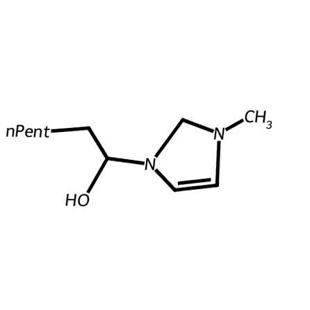 CCCCCCC(O)N1C=CN(C)C1